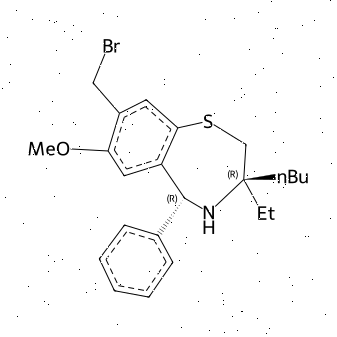 CCCC[C@]1(CC)CSc2cc(CBr)c(OC)cc2[C@@H](c2ccccc2)N1